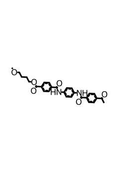 COCCCCOC(=O)c1ccc(C(=O)Nc2ccc(NC(=O)c3ccc(C(C)=O)cc3)cc2)cc1